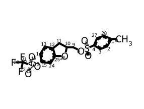 Cc1ccc(S(=O)(=O)OCC2Cc3ccc(OS(=O)(=O)C(F)(F)F)cc3O2)cc1